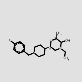 CCN1C[C@@H](C2CCN(Cc3ccc(F)cc3)CC2)O[C@@H](C)C1O